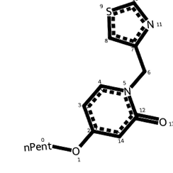 CCCCCOc1ccn(Cc2cscn2)c(=O)c1